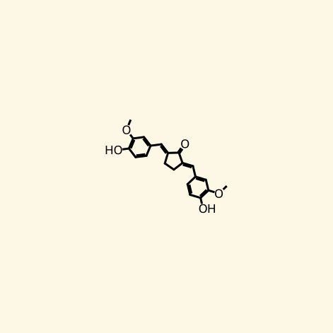 COc1cc(/C=C2\CC/C(=C\c3ccc(O)c(OC)c3)C2=O)ccc1O